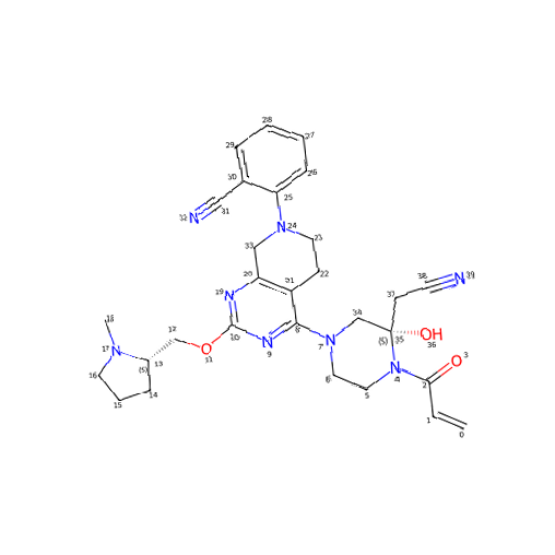 C=CC(=O)N1CCN(c2nc(OC[C@@H]3CCCN3C)nc3c2CCN(c2ccccc2C#N)C3)C[C@@]1(O)CC#N